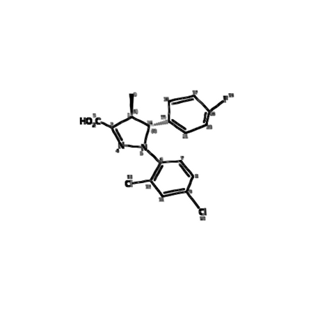 C[C@@H]1C(C(=O)O)=NN(c2ccc(Cl)cc2Cl)[C@H]1c1ccc(F)cc1